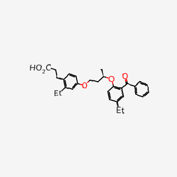 CCc1ccc(O[C@H](C)CCOc2ccc(CCC(=O)O)c(CC)c2)c(C(=O)c2ccccc2)c1